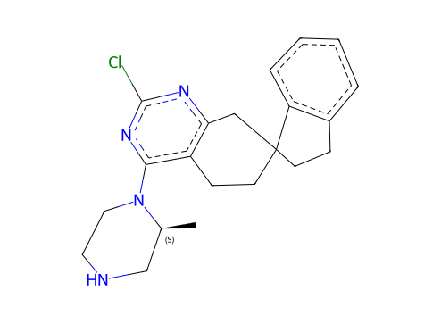 C[C@H]1CNCCN1c1nc(Cl)nc2c1CCC1(CCc3ccccc31)C2